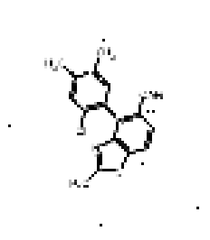 COc1ccc2sc(C)nc2c1-c1cc(C)c(C)cc1Cl